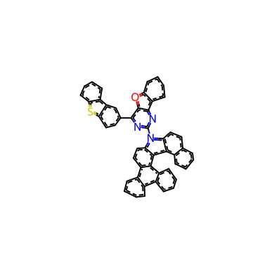 c1ccc2c(c1)ccc1c2c2c3c4ccccc4c4ccccc4c3ccc2n1-c1nc(-c2ccc3sc4ccccc4c3c2)c2oc3ccccc3c2n1